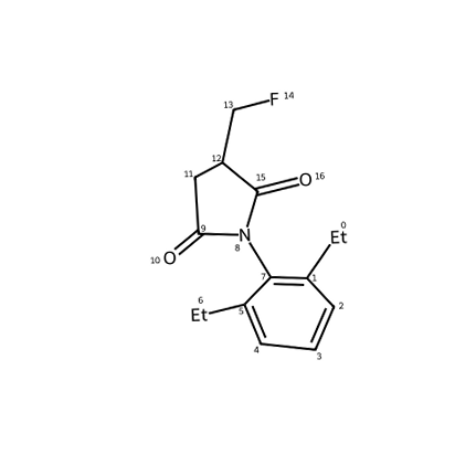 CCc1cccc(CC)c1N1C(=O)CC(CF)C1=O